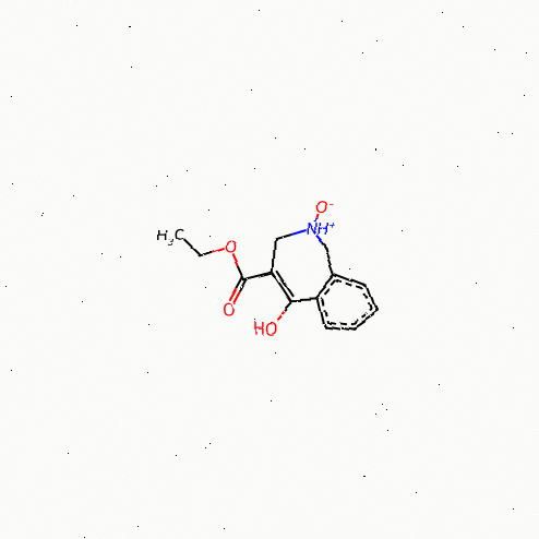 CCOC(=O)C1=C(O)c2ccccc2C[NH+]([O-])C1